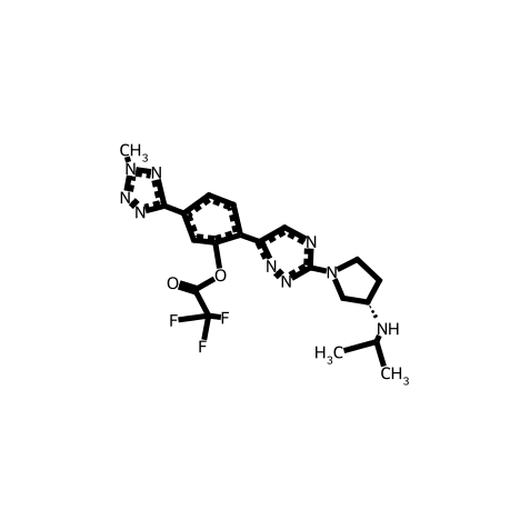 CC(C)N[C@H]1CCN(c2ncc(-c3ccc(-c4nnn(C)n4)cc3OC(=O)C(F)(F)F)nn2)C1